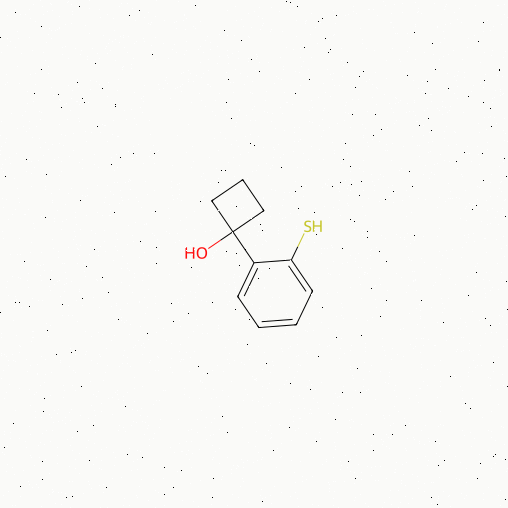 OC1(c2ccccc2S)CCC1